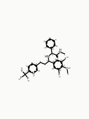 C=C(NC)C(NC(CCc1ccc(C(F)(F)F)nc1)c1cc(F)c(OC)c(F)c1)c1ccccc1